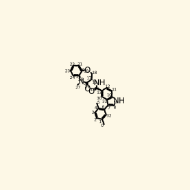 Cc1ccc(C)c(-c2c[nH]c3ccc(C(=O)N[C@H]4COc5ccccc5N(C)C4=O)cc23)c1